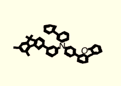 Cc1cc(C)c2c(c1)C(C)(C)c1ccc(-c3cccc(N(c4ccc(-c5cccc6c5oc5ccccc56)cc4)c4cccc(-c5ccccc5)c4)c3)cc1-2